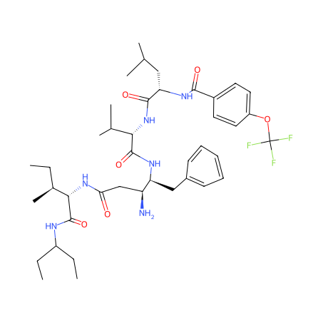 CCC(CC)NC(=O)[C@@H](NC(=O)C[C@H](N)[C@H](Cc1ccccc1)NC(=O)[C@@H](NC(=O)[C@H](CC(C)C)NC(=O)c1ccc(OC(F)(F)F)cc1)C(C)C)[C@@H](C)CC